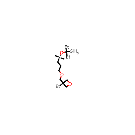 CCC1(COCCC[Si](C)(C)OC([SiH3])(CC)CC)COC1